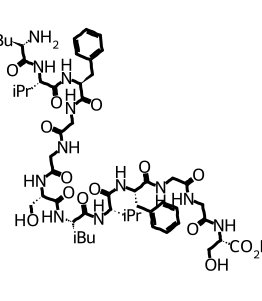 CC[C@H](C)[C@H](N)C(=O)N[C@H](C(=O)N[C@@H](Cc1ccccc1)C(=O)NCC(=O)NCC(=O)N[C@@H](CO)C(=O)N[C@H](C(=O)N[C@H](C(=O)N[C@@H](Cc1ccccc1)C(=O)NCC(=O)NCC(=O)N[C@@H](CO)C(=O)O)C(C)C)[C@@H](C)CC)C(C)C